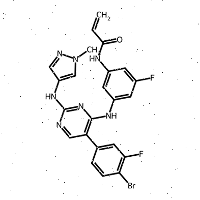 C=CC(=O)Nc1cc(F)cc(Nc2nc(Nc3cnn(C)c3)ncc2-c2ccc(Br)c(F)c2)c1